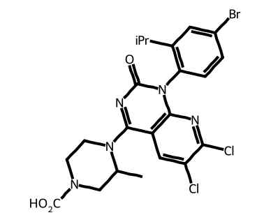 CC(C)c1cc(Br)ccc1-n1c(=O)nc(N2CCN(C(=O)O)CC2C)c2cc(Cl)c(Cl)nc21